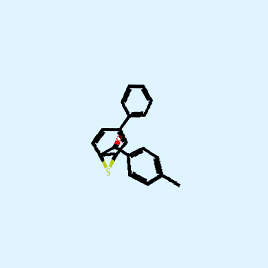 Cc1ccc(C(=O)C23C=CC(c4ccccc4)=CC2S3)cc1